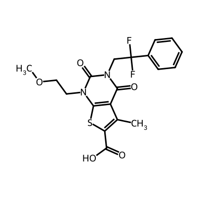 COCCn1c(=O)n(CC(F)(F)c2ccccc2)c(=O)c2c(C)c(C(=O)O)sc21